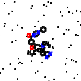 CC(C)c1oc2ccc(C(=O)N3CCN(c4ccccc4)CC3)cc2c1CCN(C)Cc1cccc2ncncc12